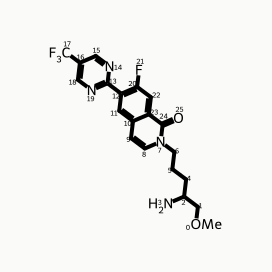 COCC(N)CCCn1ccc2cc(-c3ncc(C(F)(F)F)cn3)c(F)cc2c1=O